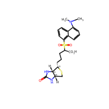 CN(C)c1cccc2c(S(=O)(=O)C(CCC[C@@H]3SC[C@@H]4NC(=O)N[C@@H]43)C(=O)O)cccc12